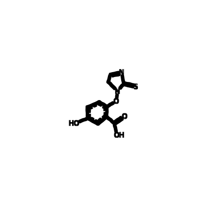 O=C(O)c1cc(O)ccc1ON1CC=NC1=S